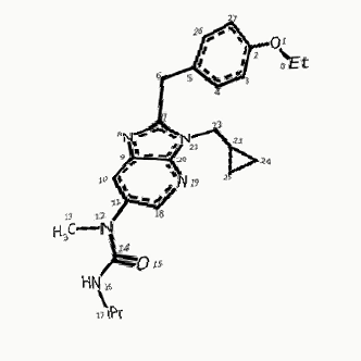 CCOc1ccc(Cc2nc3cc(N(C)C(=O)NC(C)C)cnc3n2CC2CC2)cc1